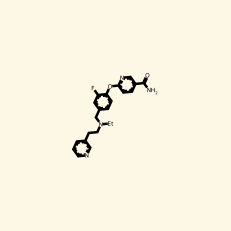 CCN(CCc1cccnc1)Cc1ccc(Oc2ccc(C(N)=O)cn2)c(F)c1